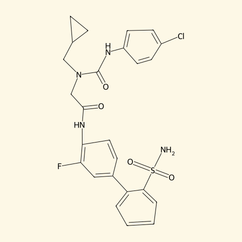 NS(=O)(=O)c1ccccc1-c1ccc(NC(=O)CN(CC2CC2)C(=O)Nc2ccc(Cl)cc2)c(F)c1